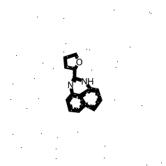 c1cc2c3c(cccc3c1)NC(C1CCCO1)=N2